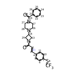 O=C(/C=C/c1ccc(SC(F)(F)F)cc1)N1CC(N2CCN(C(=O)c3ccccc3)CC2)C1